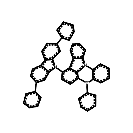 c1ccc(B2c3ccccc3-n3c4ccccc4c4c(-n5c6cc(-c7ccccc7)ccc6c6ccc(-c7ccccc7)cc65)ccc2c43)cc1